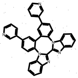 c1cncc(-c2ccc3c(c2)c2cc(-c4cccnc4)ccc2n2c4ccccc4nc2c2nc4ccccc4n32)c1